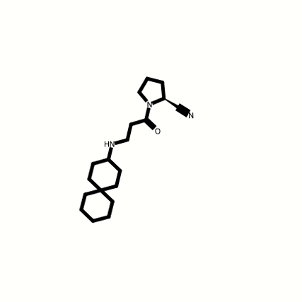 N#C[C@@H]1CCCN1C(=O)CCNC1CCC2(CCCCC2)CC1